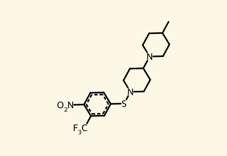 CC1CCN(C2CCN(Sc3ccc([N+](=O)[O-])c(C(F)(F)F)c3)CC2)CC1